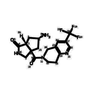 N[C@@H]1C[C@H]2C(=O)NC[C@@]2(C(=O)N2CCc3ncc(C(F)(F)F)cc3C2)C1